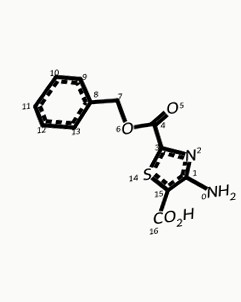 Nc1nc(C(=O)OCc2ccccc2)sc1C(=O)O